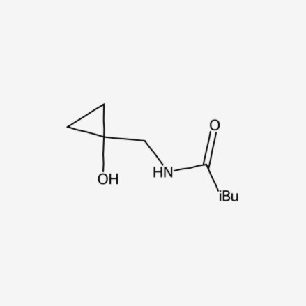 CCC(C)C(=O)NCC1(O)CC1